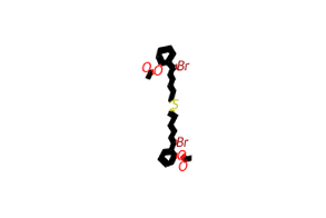 CC(=O)Oc1ccccc1C(Br)CCCCCSCCCCCC(Br)c1ccccc1OC(C)=O